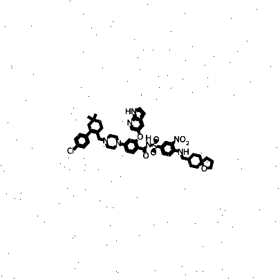 CC1(C)CCC(CN2CCN(c3ccc(C(=O)NS(=O)(=O)c4ccc(NCC5CCC6(CCCO6)CC5)c([N+](=O)[O-])c4)c(Oc4cnc5[nH]ccc5c4)c3)CC2)=C(c2ccc(Cl)cc2)C1